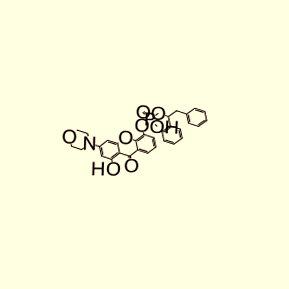 O=c1c2cccc(OP(=O)(O)OC(Cc3ccccc3)c3ccccc3)c2oc2cc(N3CCOCC3)cc(O)c12